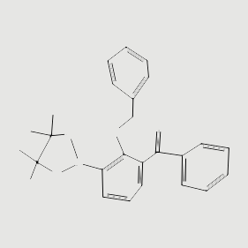 CC1(C)OB(c2cccc(C(=O)c3ccccc3)c2OCc2ccccc2)OC1(C)C